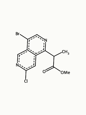 COC(=O)C(C)c1ncc(Br)c2cnc(Cl)cc12